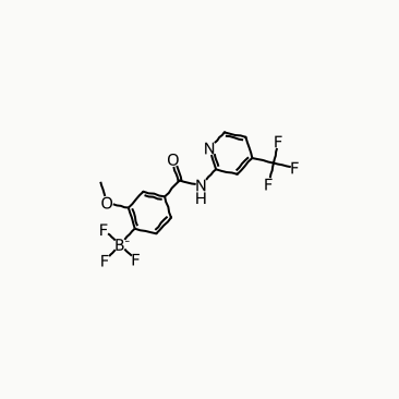 COc1cc(C(=O)Nc2cc(C(F)(F)F)ccn2)ccc1[B-](F)(F)F